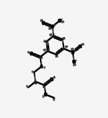 COC(=O)C(C)CSC(=O)c1cc([N+](=O)[O-])cc([N+](=O)[O-])c1